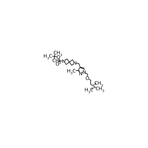 Cc1nn(COCCS(C)(C)C)cc1CN1CC2(C1)CN(C(=O)OC(C)(C)C)C2